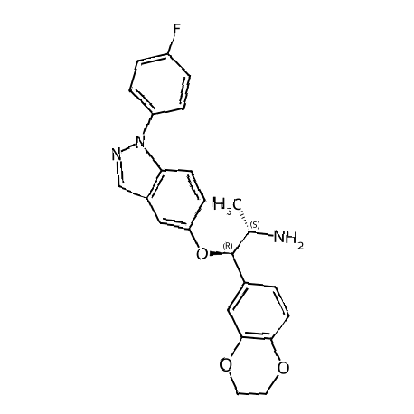 C[C@H](N)[C@H](Oc1ccc2c(cnn2-c2ccc(F)cc2)c1)c1ccc2c(c1)OCCO2